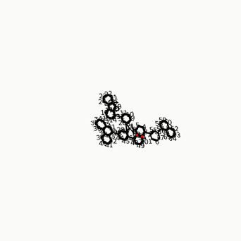 C1=CC(c2ccc(N(c3cccc(-c4cccc5c4sc4ccccc45)c3)c3cc(-c4cc5ccccc5c5ccccc45)ccc3-c3ccccc3)cc2)=CC(c2cccc3ccccc23)C1